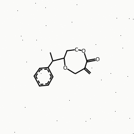 C=C1COC(C(C)c2ccccc2)CCOC1=O